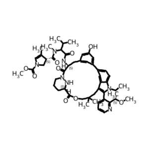 CCn1c(-c2cccnc2[C@H](C)OC)c2c3cc(ccc31)-c1cc(O)cc(c1)C[C@H](NC(=O)C(C(C)C)N(C)C(=O)[C@@H]1CN(C(=O)OC)C=C1C)C(=O)N1CCC[C@H](N1)C(=O)OCC(C)(C)C2